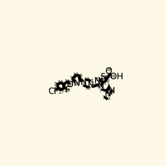 CCn1cncc1Cn1c(CN2CCN(c3cccc(OCc4ccc(Cl)cc4F)n3)CC2)nc2sc(C(=O)O)cc21